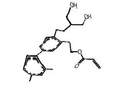 C=CC(=O)OCCc1cc(-c2ccc(C)cc2C)ccc1CCC(CO)CO